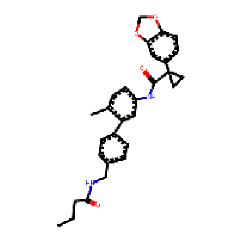 CCCC(=O)NCc1ccc(-c2cc(NC(=O)C3(c4ccc5c(c4)OCO5)CC3)ccc2C)cc1